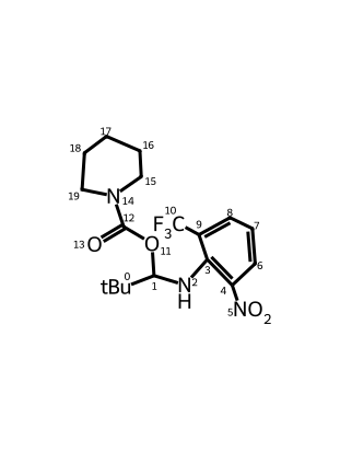 CC(C)(C)C(Nc1c([N+](=O)[O-])cccc1C(F)(F)F)OC(=O)N1CCCCC1